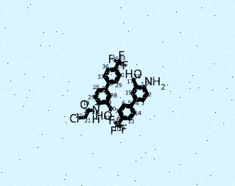 Nc1ccc(-c2ccc(C(F)(F)F)cc2)cc1CO.O=C(CCl)Nc1ccc(-c2ccc(C(F)(F)F)cc2)cc1CO